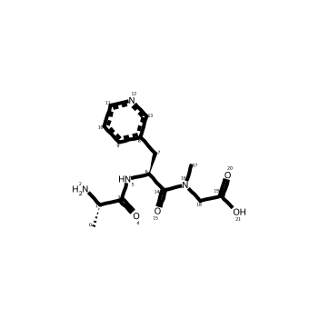 C[C@H](N)C(=O)N[C@@H](Cc1cccnc1)C(=O)N(C)CC(=O)O